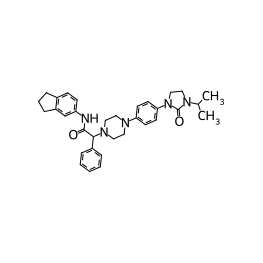 CC(C)N1CCN(c2ccc(N3CCN(C(C(=O)Nc4ccc5c(c4)CCC5)c4ccccc4)CC3)cc2)C1=O